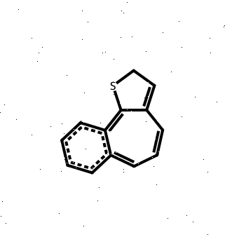 C1=CC2=CCSC2=c2ccccc2=C1